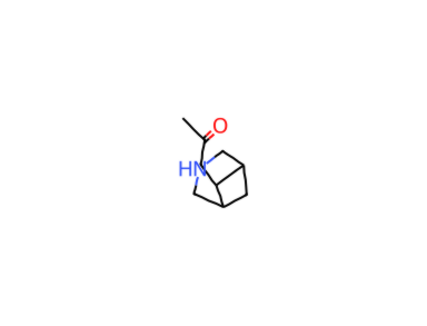 CC(=O)CC1C2CNCC1C2